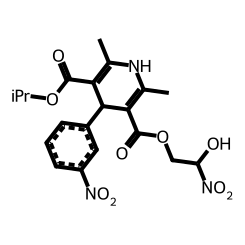 CC1=C(C(=O)OCC(O)[N+](=O)[O-])C(c2cccc([N+](=O)[O-])c2)C(C(=O)OC(C)C)=C(C)N1